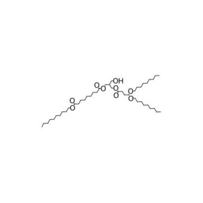 CCCCCCCCCCOC(=O)CCCCCCCC(=O)OCC(CO)COC(=O)CCC(OCCCCCCCCC)OCCCCCCCCC